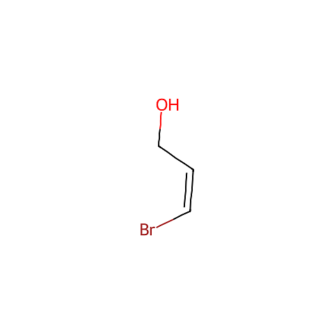 OC/C=C\Br